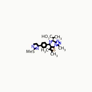 CSc1nccc(-c2ccc(C3=N[C@@H](C(C)C(=O)O)c4nnc(C)n4-c4sc(C)c(C)c43)cc2)n1